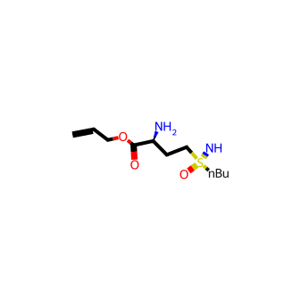 C=CCOC(=O)[C@@H](N)CCS(=N)(=O)CCCC